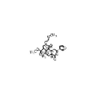 COCO[C@@H]1CC(C(=O)OC)[C@]2(C)CC[C@H]3C(=O)O[C@@H](c4ccoc4)C[C@]3(C)[C@H]2C1=O